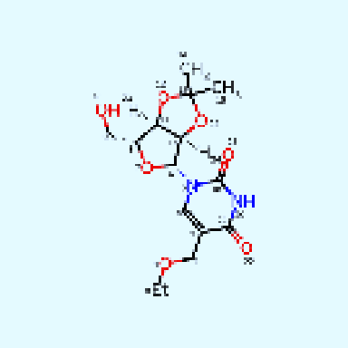 CCOCc1cn([C@@H]2O[C@H](CO)[C@H]3OC(C)(C)O[C@H]32)c(=O)[nH]c1=O